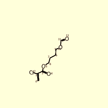 C=C(Cl)C(=O)OCCCCOC=O